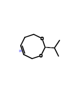 CC(C)C1OC/C=C\CCO1